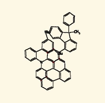 CC(C)(C)c1cc(-c2ccccc2N(c2ccc(-c3cccc4c3-c3ccccc3C4(C)c3ccccc3)cc2)c2ccccc2-c2cccc3cccc(-c4ccccc4)c23)cc(C(C)(C)C)c1